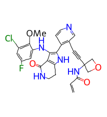 C=CC(=O)NC1(C#Cc2cnccc2-c2[nH]c3c(c2Nc2cc(F)cc(Cl)c2OC)C(=O)NCC3)COC1